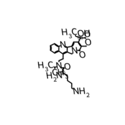 CC[C@@]1(O)C(=O)OCc2c1cc1n(c2=O)Cc2c-1nc1ccccc1c2CCN(C(=O)[C@@H](N)CCCCN)C(C)C